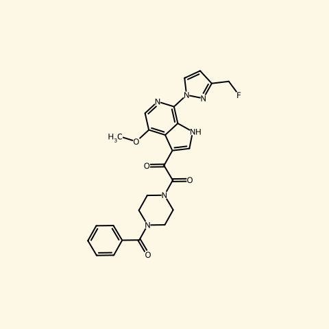 COc1cnc(-n2ccc(CF)n2)c2[nH]cc(C(=O)C(=O)N3CCN(C(=O)c4ccccc4)CC3)c12